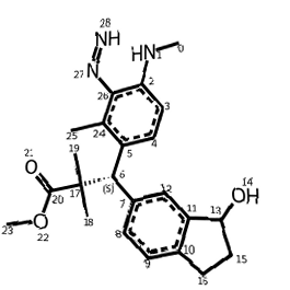 CNc1ccc([C@H](c2ccc3c(c2)C(O)CC3)C(C)(C)C(=O)OC)c(C)c1N=N